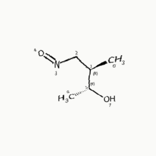 C[C@H](CN=O)[C@@H](C)O